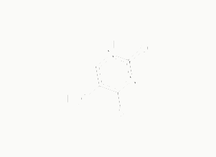 Cc1c[nH]c(=O)nc1[S]